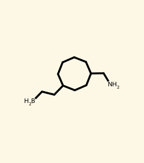 BCCC1CCCCC(CN)CC1